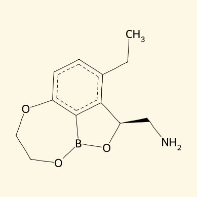 CCc1ccc2c3c1[C@@H](CN)OB3OCCO2